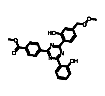 COOCc1ccc(-c2nc(-c3ccc(C(=O)OC)cc3)nc(-c3ccccc3O)n2)c(O)c1